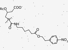 CC(=O)OC(CC(=O)[O-])C[N+](C)(C)C(=O)NCCCCCC(=O)OCCc1ccc([N+](=O)[O-])cc1